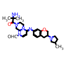 CC1CCN(C2COc3cc(/N=C(\C=C/NC=O)N4CCN(C(=O)C(C)(C)N)CC4)ccc3C2)C1